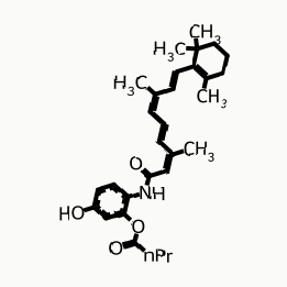 CCCC(=O)Oc1cc(O)ccc1NC(=O)C=C(C)C=CC=C(C)C=CC1=C(C)CCCC1(C)C